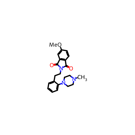 COc1ccc2c(c1)C(=O)N(CCc1ccccc1N1CCN(C)CC1)C2=O